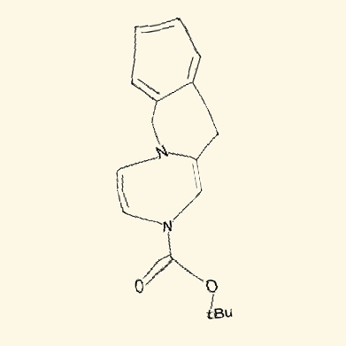 CC(C)(C)OC(=O)N1C=CN2C(=C1)Cc1ccccc12